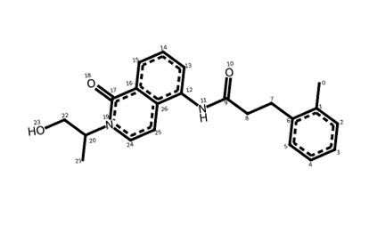 Cc1ccccc1CCC(=O)Nc1cccc2c(=O)n(C(C)CO)ccc12